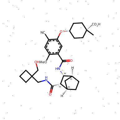 COc1cc(C#N)c(O[C@H]2CC[C@@](C)(C(=O)O)CC2)cc1C(=O)N[C@@H]1[C@H]2CC[C@H](C2)[C@@H]1C(=O)NCC1(CO)CCC1